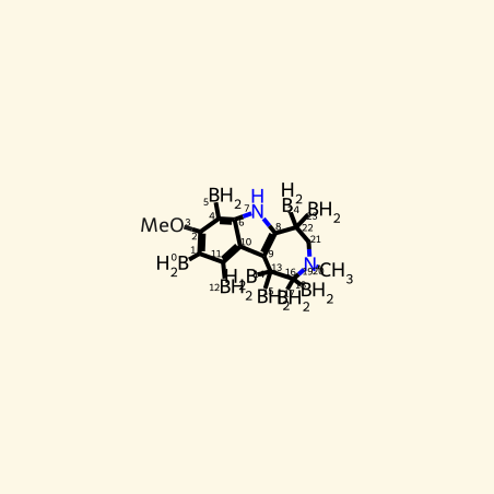 Bc1c(OC)c(B)c2[nH]c3c(c2c1B)C(B)(B)C(B)(B)N(C)CC3(B)B